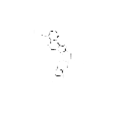 COc1cccc2c1nc(N)n1nc(C[C@H](C)N3CCc4sc(C)nc4C3)nc21